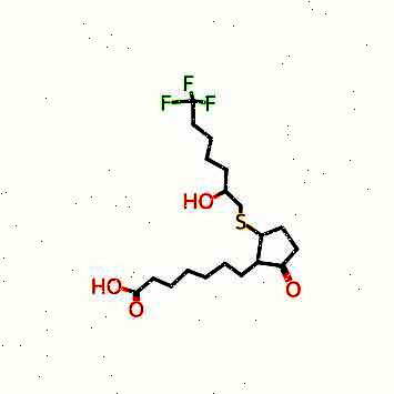 O=C(O)CCCCCCC1C(=O)CCC1SCC(O)CCCCC(F)(F)F